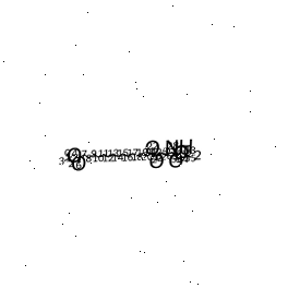 CC(C)(C)OC(=O)CCCCCCCCCCCCCCC(=O)C(=O)CC[C@H](N)C(=O)OC(C)(C)C